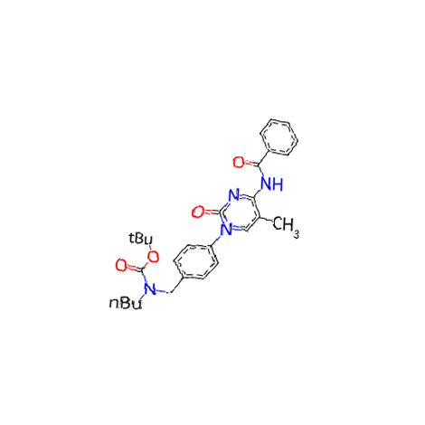 CCCCN(Cc1ccc(-n2cc(C)c(NC(=O)c3ccccc3)nc2=O)cc1)C(=O)OC(C)(C)C